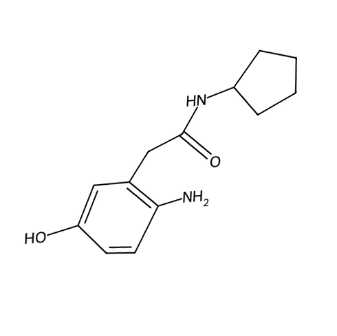 Nc1ccc(O)cc1CC(=O)NC1CCCC1